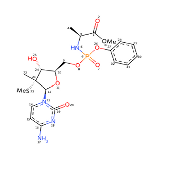 COC(=O)[C@H](C)NP(=O)(OC[C@H]1O[C@@H](n2ccc(N)nc2=O)[C@](C)(SC)[C@@H]1O)Oc1ccccc1